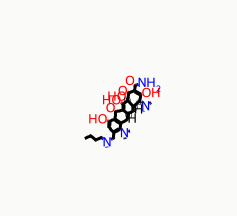 CCCCN(C)Cc1cc(O)c2c(c1N(C)C)C[C@H]1C[C@H]3[C@H](N(C)C)C(O)=C(C(N)=O)C(=O)[C@@]3(O)C(O)=C1C2=O